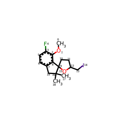 COc1c(F)ccc2c1C1(CCC(CI)O1)C(C)(C)C2